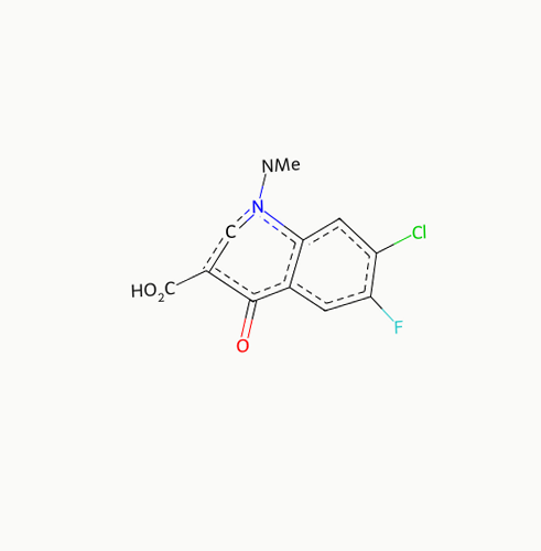 CNn1cc(C(=O)O)c(=O)c2cc(F)c(Cl)cc21